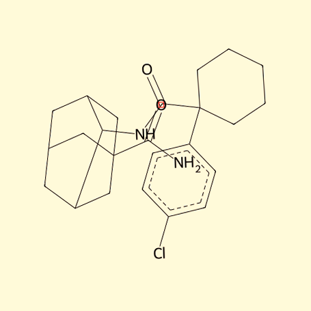 NC(=O)C12CC3CC(C1)C(NC(=O)C1(c4ccc(Cl)cc4)CCCCC1)C(C3)C2